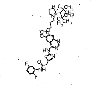 COc1cc2c(Nc3ncc(CC(=O)Nc4cc(F)ccc4F)s3)ncnc2cc1OCCCN1CCC[C@@H]1C(C(C)(C)C)C(C)(C)C